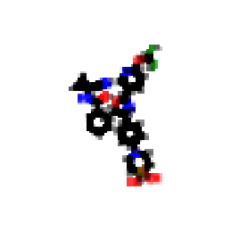 N#CC1(NC(=O)[C@@H]2CCCC[C@H]2c2oc(-c3ccc(OC(F)F)nc3)nc2-c2ccc(N3CCS(O)(O)CC3)cc2)CC1